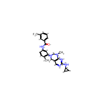 Cc1ccc(NC(=O)c2cccc(C(F)(F)F)c2)cc1N1Cc2cnc(NC3CC3)nc2N(C)C1